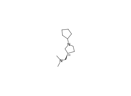 CN(C)C[C@@H]1CCN(C2CCCC2)C1